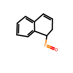 O=PC1CC=Cc2ccccc21